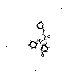 O=C(OCc1ccccc1)[C@H](Cc1ccc(Cl)cc1)NCc1ccccc1